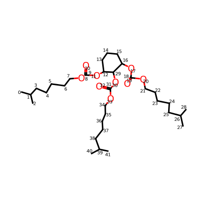 CC(C)CCCCCOC(=O)OC1CCCC(OC(=O)OCCCCCC(C)C)C1OC(=O)OCCCCCC(C)C